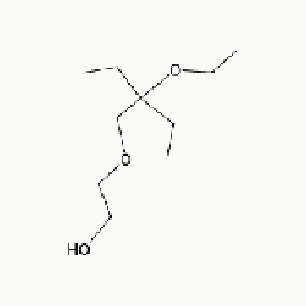 CCOC(CC)(CC)COCCO